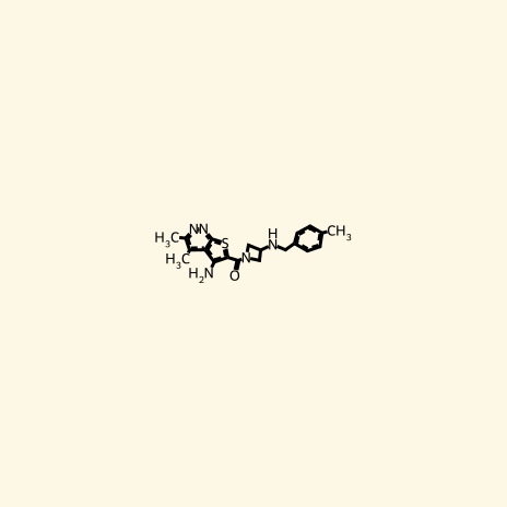 Cc1ccc(CNC2CN(C(=O)c3sc4nnc(C)c(C)c4c3N)C2)cc1